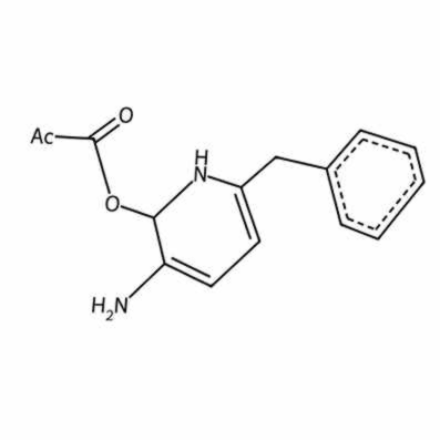 CC(=O)C(=O)OC1NC(Cc2ccccc2)=CC=C1N